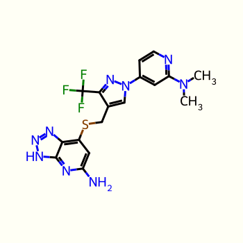 CN(C)c1cc(-n2cc(CSc3cc(N)nc4[nH]nnc34)c(C(F)(F)F)n2)ccn1